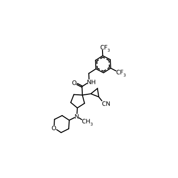 CN(C1CCOCC1)C1CCC(C(=O)NCc2cc(C(F)(F)F)cc(C(F)(F)F)c2)(C2CC2C#N)C1